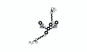 C=CC(=O)OCCCCCCOc1ccc(-c2cc(/C=N/Nc3nc4ccccc4s3)c(-c3ccc(OCCCCCCOC(=O)C=C)cc3)cc2/C=N/Nc2nc3ccccc3s2)cc1